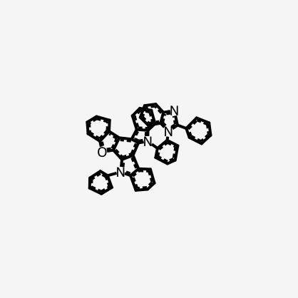 c1ccc(-c2nc3ccccc3n2-c2ccccc2-n2c3ccccc3c3c4c5ccccc5oc4c4c(c5ccccc5n4-c4ccccc4)c32)cc1